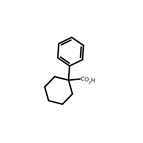 O=C(O)C1(c2[c]cccc2)CCCCC1